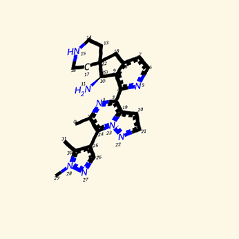 Cc1nc(-c2nccc3c2[C@@H](N)C2(CCNCC2)C3)c2ccnn2c1-c1cnn(C)c1C